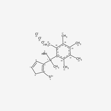 CCCC[Si](C)(C1=[C]([Ti+3])CC=C1)c1c(C)c(C)c(C)c(C)c1C.[Cl-].[Cl-].[Cl-]